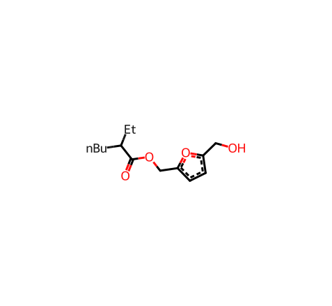 CCCCC(CC)C(=O)OCc1ccc(CO)o1